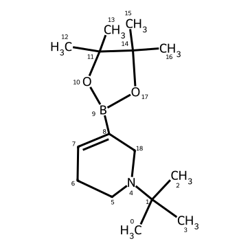 CC(C)(C)N1CCC=C(B2OC(C)(C)C(C)(C)O2)C1